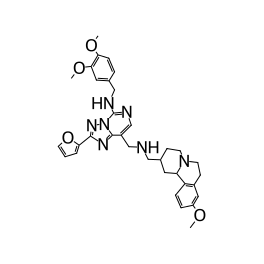 COc1ccc2c(c1)CCN1CCC(CNCc3cnc(NCc4ccc(OC)c(OC)c4)n4nc(-c5ccco5)nc34)CC21